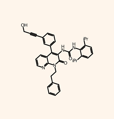 CC(C)c1cccc(C(C)C)c1NC(=O)Nc1c(-c2cccc(C#CCO)c2)c2cccnc2n(CCc2ccccc2)c1=O